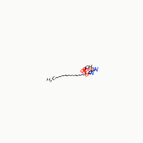 CCCCCCCCCCCCCCCCCCCC[C@@H](COP(=O)(O)OC)Oc1ccc(C#N)nc1